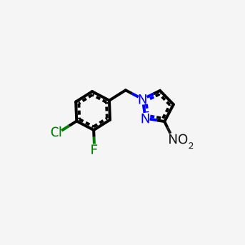 O=[N+]([O-])c1ccn(Cc2ccc(Cl)c(F)c2)n1